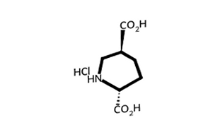 Cl.O=C(O)[C@H]1CC[C@H](C(=O)O)NC1